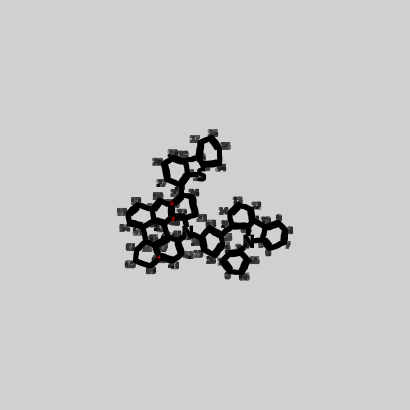 c1ccc(-n2c3ccccc3c3cccc(-c4cccc(N(c5ccc(-c6cccc7c6sc6ccccc67)cc5)c5ccccc5-c5cccc6cccc(C7CCCCC7)c56)c4)c32)cc1